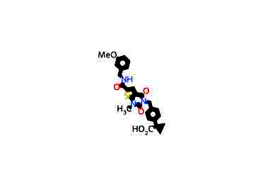 COc1cccc(CNC(=O)c2cc3c(=O)n(Cc4ccc(C5(C(=O)O)CC5)cc4)c(=O)n(C)c3s2)c1